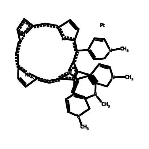 CN1C=CC(c2c(C3=CCN(C)C=C3)c3c(C4=CCN(C)C=C4)c4nc(cc5ccc(cc6nc(cc2n3C2=CCN(C)C=C2)C=C6)[nH]5)C=C4)=CC1.[Pt]